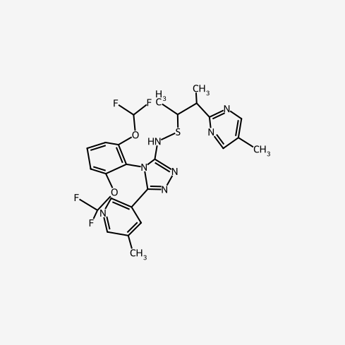 Cc1cnc(C(C)C(C)SNc2nnc(-c3cncc(C)c3)n2-c2c(OC(F)F)cccc2OC(F)F)nc1